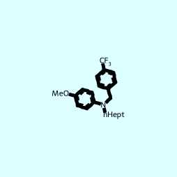 CCCCCCCN(Cc1ccc(C(F)(F)F)cc1)c1ccc(OC)cc1